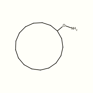 NOC1CCCCCCCCCCCCCCCC1